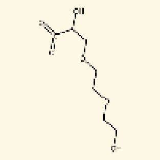 O=P(=O)C(O)COCCOCCO